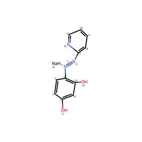 Oc1ccc(/N=N/c2ccccn2)c(O)c1.[NaH]